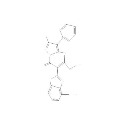 COc1cccc2oc(-c3c(CSC)[nH]c4c(-c5ccccc5)c(C(F)(F)F)nn4c3=O)nc12